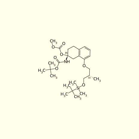 COC(=O)O[C@]1(NC(=O)OC(C)(C)C)CCc2cccc(OC[C@H](C)CO[Si](C)(C)C(C)(C)C)c2C1